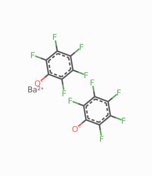 [Ba+2].[O-]c1c(F)c(F)c(F)c(F)c1F.[O-]c1c(F)c(F)c(F)c(F)c1F